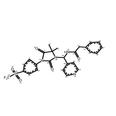 CC1(C)C(=O)N(c2ccc(S(=O)(=O)C(F)(F)F)cc2)C(=O)N1C(NC(=O)Cc1ccccc1)c1ccncc1